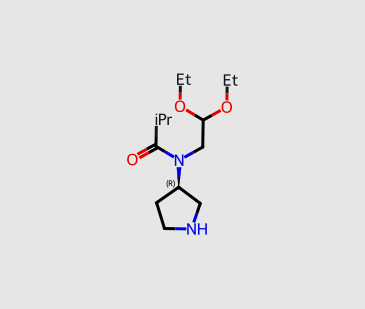 CCOC(CN(C(=O)C(C)C)[C@@H]1CCNC1)OCC